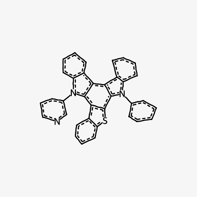 c1ccc(-n2c3ccccc3c3c4c5ccccc5n(-c5cccnc5)c4c4c5ccccc5sc4c32)cc1